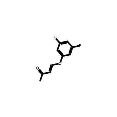 CC(=O)C=COc1cc(F)cc(F)c1